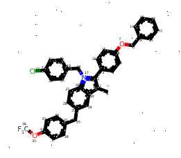 Cc1c(-c2ccc(OCc3ccccc3)cc2)n(Cc2ccc(Cl)cc2)c2ccc(Cc3ccc(OC(F)(F)F)cc3)cc12